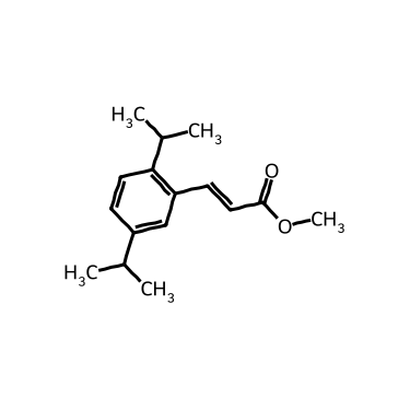 COC(=O)/C=C/c1cc(C(C)C)ccc1C(C)C